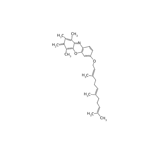 C=c1c(C)c(C)c2c(c1C)Oc1cc(OC/C=C(\C)CC/C=C(\C)CCC=C(C)C)ccc1N=2